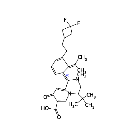 CC(C)=c1c(CCC2CC(F)(F)C2)ccc/c1=C1\c2cc(=O)c(C(=O)O)cn2C(C(C)(C)C)CN1C